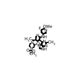 COc1ncc(Nc2ncc([C@H](C)N3CCN(S(C)(=O)=O)C[C@@H]3C)cc2-c2nc(C)nc3[nH]cnc23)cc1F